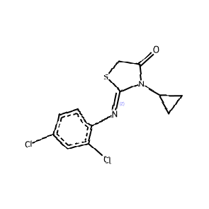 O=C1CS/C(=N\c2ccc(Cl)cc2Cl)N1C1CC1